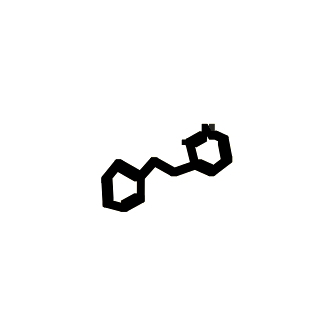 [c]1ncccc1CCc1ccccc1